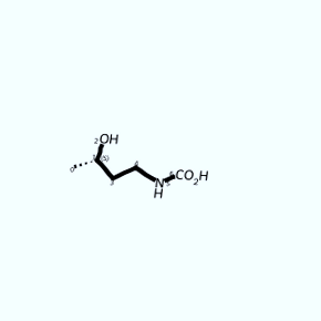 C[C@H](O)CCNC(=O)O